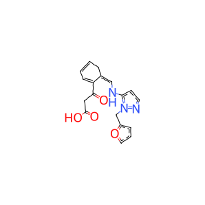 O=C(O)CC(=O)C1=CC=CCC1=CNc1ccnn1Cc1ccco1